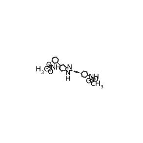 CS(=O)(=O)Nc1ccc(C#Cc2nc3cc(-c4ccccc4NS(C)(=O)=O)ccc3[nH]2)cc1